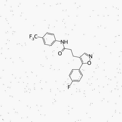 O=C(CCc1cnoc1-c1ccc(F)cc1)Nc1ccc(C(F)(F)F)cc1